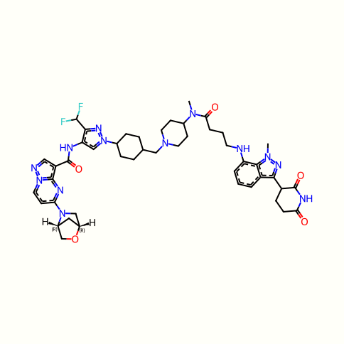 CN(C(=O)CCCNc1cccc2c(C3CCC(=O)NC3=O)nn(C)c12)C1CCN(CC2CCC(n3cc(NC(=O)c4cnn5ccc(N6C[C@H]7C[C@@H]6CO7)nc45)c(C(F)F)n3)CC2)CC1